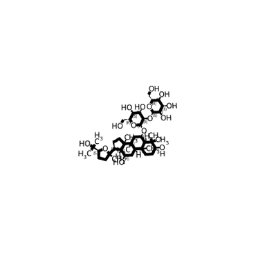 CC(C)(O)[C@@H]1CC[C@@](C)([C@H]2CC[C@]3(C)[C@@H]2[C@H](O)C[C@@H]2[C@@]4(C)CC[C@H](O)C(C)(C)[C@@H]4[C@@H](O[C@@H]4O[C@H](CO)[C@@H](O)[C@H](O)[C@H]4O[C@@H]4O[C@H](CO)[C@@H](O)[C@H](O)[C@H]4O)C[C@]23C)O1